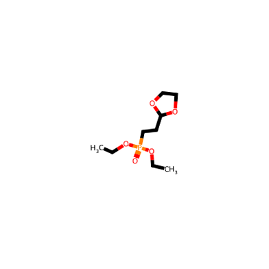 CCOP(=O)(CCC1OCCO1)OCC